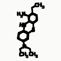 CCc1ccc2c(c1N)Nc1ccc(N(CC)CC)cc1S2